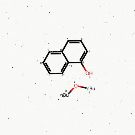 CCCCOCCCC.Oc1cccc2ccccc12